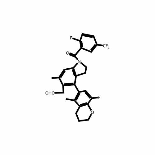 Cc1cc2c(c(-c3cc(F)c4c(c3C)CCCO4)c1CC=O)CCN2C(=O)c1cc(C(F)(F)F)ccc1F